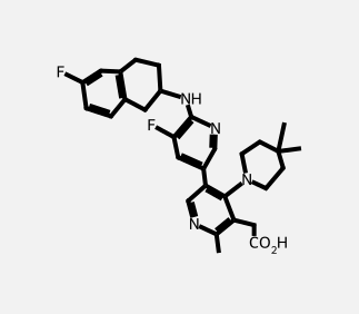 Cc1ncc(-c2cnc(NC3CCc4cc(F)ccc4C3)c(F)c2)c(N2CCC(C)(C)CC2)c1CC(=O)O